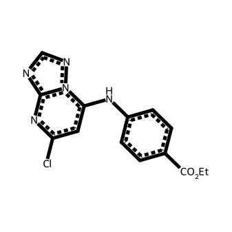 CCOC(=O)c1ccc(Nc2cc(Cl)nc3ncnn23)cc1